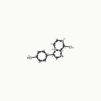 Oc1ccc(-c2cnc3c(Cl)nccn23)cc1